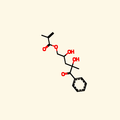 C=C(C)C(=O)OCC(O)CC(C)(O)C(=O)c1ccccc1